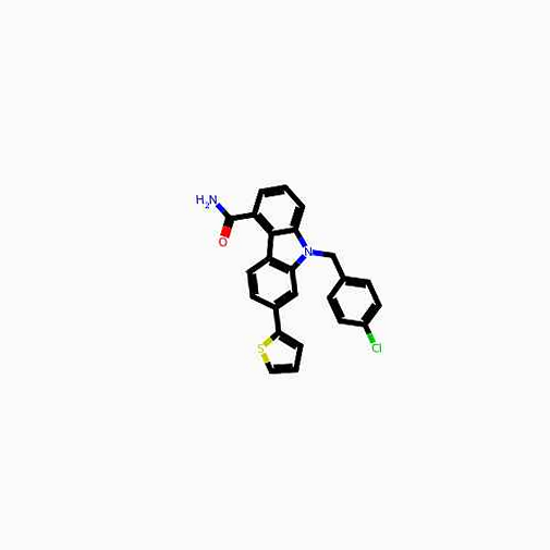 NC(=O)c1cccc2c1c1[c]cc(-c3cccs3)cc1n2Cc1ccc(Cl)cc1